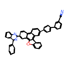 N#Cc1cccc(-c2ccc(-c3ccc4c5ccc(-c6nc(-c7ccccc7)c7ccccc7n6)cc5c5oc6ccccc6c5c4c3)cc2)c1